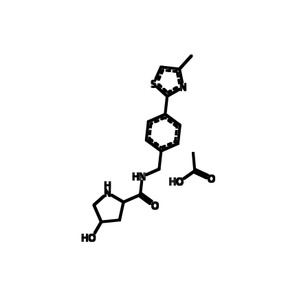 CC(=O)O.Cc1csc(-c2ccc(CNC(=O)C3CC(O)CN3)cc2)n1